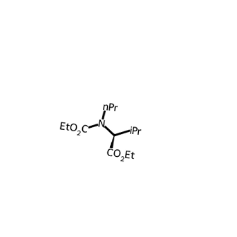 CCCN(C(=O)OCC)[C@H](C(=O)OCC)C(C)C